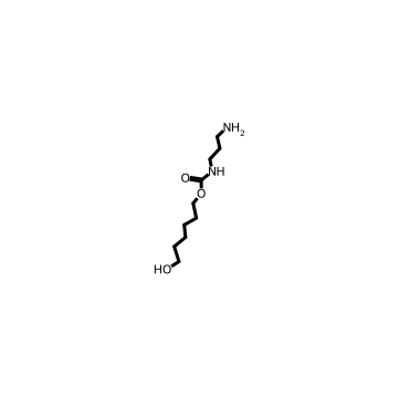 NCCCNC(=O)OCCCCCCO